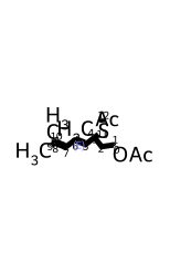 CC(=O)OCCC(C)(/C=C/C=C(C)C)SC(C)=O